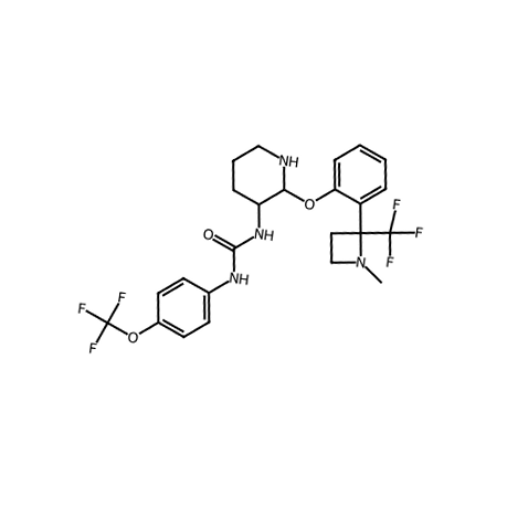 CN1CCC1(c1ccccc1OC1NCCCC1NC(=O)Nc1ccc(OC(F)(F)F)cc1)C(F)(F)F